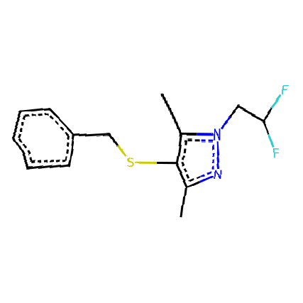 Cc1nn(CC(F)F)c(C)c1SCc1ccccc1